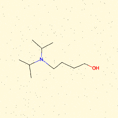 CC(C)N(CCCCO)C(C)C